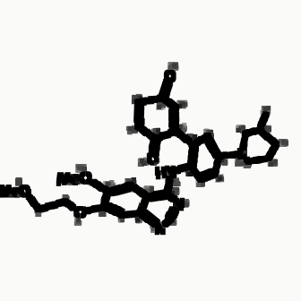 COCCOc1cc2ncnc(Nc3ccc(N4CCCC(C)C4)cc3C3=CC(=O)C=CC3=O)c2cc1OC